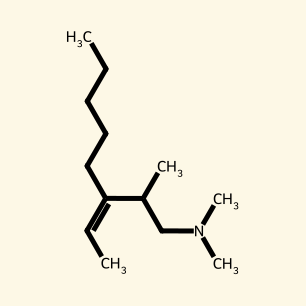 C/C=C(/CCCCC)C(C)CN(C)C